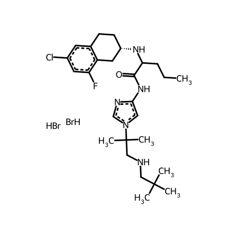 Br.Br.CCCC(N[C@H]1CCc2cc(Cl)cc(F)c2C1)C(=O)Nc1cn(C(C)(C)CNCC(C)(C)C)cn1